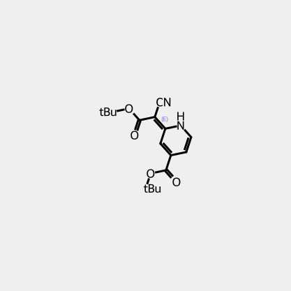 CC(C)(C)OC(=O)C1=C/C(=C(/C#N)C(=O)OC(C)(C)C)NC=C1